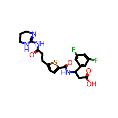 O=C(O)CC(NC(=O)c1ccc(CCC(=O)NC2=NCCCN2)s1)c1cc(F)cc(F)c1